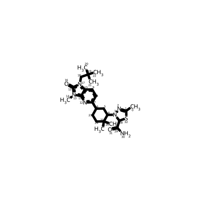 CC1=NN(C2CC(c3ccc4c(n3)n(C)c(=O)n4CC(C)(C)C)CCC2(C)C)C(C(N)=O)S1